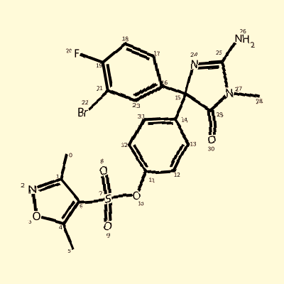 Cc1noc(C)c1S(=O)(=O)Oc1ccc(C2(c3ccc(F)c(Br)c3)N=C(N)N(C)C2=O)cc1